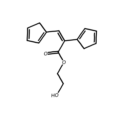 O=C(OCCO)C(=CC1=CC=CC1)C1=CC=CC1